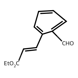 CCOC(=O)/C=C/c1ccccc1C=O